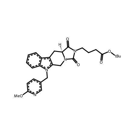 COc1ccc(Cn2c3c(c4ccccc42)C[C@H]2C(=O)N(CCCC(=O)OC(C)(C)C)C(=O)N2C3)cn1